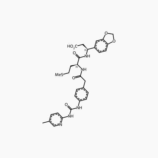 CSCC[C@H](NC(=O)Cc1ccc(NC(=O)Nc2ccc(C)cn2)cc1)C(=O)N[C@@H](CC(=O)O)c1ccc2c(c1)OCO2